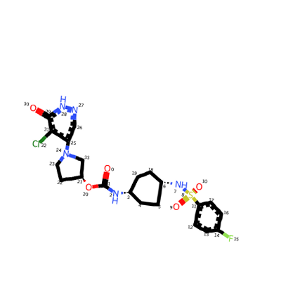 O=C(N[C@H]1CC[C@@H](NS(=O)(=O)c2ccc(F)cc2)CC1)O[C@@H]1CCN(c2cn[nH]c(=O)c2Cl)C1